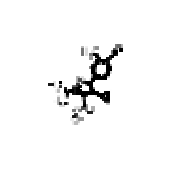 COC(=O)c1c(C2CC2)c(-c2ccc(C#N)c(C)c2)nn1C(C)C